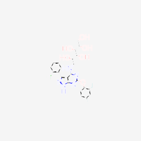 OCC(O)C(O)C(O)C(O)CNc1nc(Oc2ccc(F)cc2F)nc2[nH]nc(-c3ccccc3Cl)c12